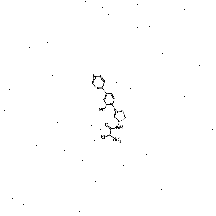 CC[C@H](N)C(=O)N[C@H]1CCN(c2ccc(-c3ccncc3)cc2C#N)C1